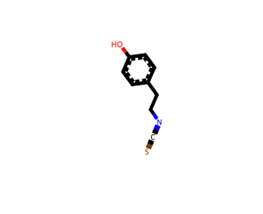 Oc1ccc(CCN=C=S)cc1